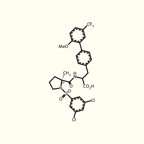 COc1ccc(C(F)(F)F)cc1-c1ccc(CC(NC(=O)[C@]2(C)CCCN2S(=O)(=O)c2cc(Cl)cc(Cl)c2)C(=O)O)cc1